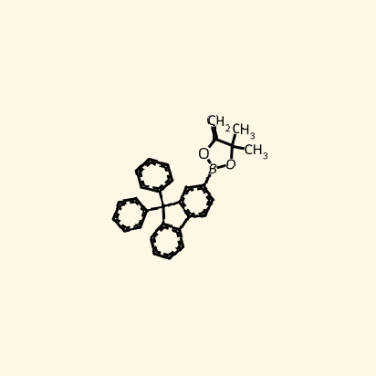 C=C1OB(c2ccc3c(c2)C(c2ccccc2)(c2ccccc2)c2ccccc2-3)OC1(C)C